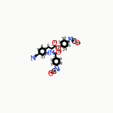 N#Cc1ccc(CC(NC(=O)c2ccc(N=C=O)cc2)C(=O)Oc2ccc(N=C=O)cc2)cc1